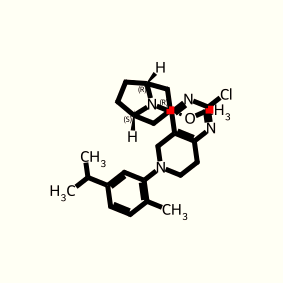 CO[C@H]1C[C@H]2CC[C@@H](C1)N2c1nc(Cl)nc2c1CN(c1cc(C(C)C)ccc1C)CC2